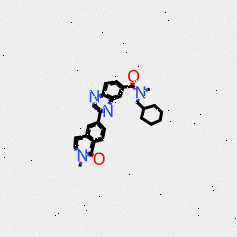 CN(CC1CCCCC1)C(=O)c1ccc2ncc(-c3ccc4c(=O)n(C)ccc4c3)nc2c1